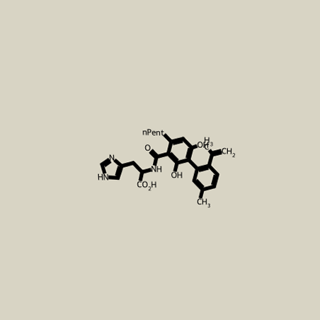 C=C(C)c1ccc(C)cc1-c1c(O)cc(CCCCC)c(C(=O)NC(Cc2c[nH]cn2)C(=O)O)c1O